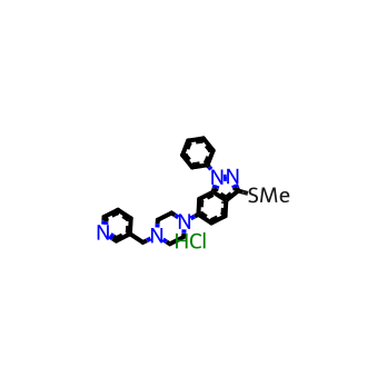 CSc1nn(-c2ccccc2)c2cc(N3CCN(Cc4cccnc4)CC3)ccc12.Cl